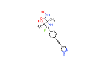 CC(O)(CF)C(C)(NCc1ccc(C#Cc2cn[nH]c2)cc1)C(=O)NO